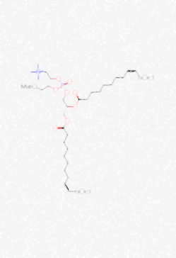 CCCCCCCC/C=C\CCCCCCCC(=O)OC[C@H](COP(=O)(OCCOC)OCC[N+](C)(C)C)OC(=O)CCCCCCC/C=C\CCCCCCCC